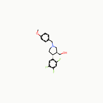 COc1ccc(CN2CC[C@@H](c3cc(F)c(F)cc3F)[C@H](CO)C2)cc1